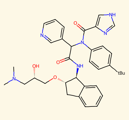 CN(C)C[C@H](O)CO[C@H]1Cc2ccccc2[C@@H]1NC(=O)C(c1cccnc1)N(C(=O)c1c[nH]cn1)c1ccc(C(C)(C)C)cc1